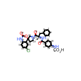 C[C@@](Cc1ccccc1)(NC(=O)c1ccc(NC(=O)O)cc1)C(=O)N1CCC2(C1)OC(=O)Nc1ccc(Cl)cc12